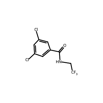 O=C(NCC(F)(F)F)c1cc(Cl)cc(Cl)c1